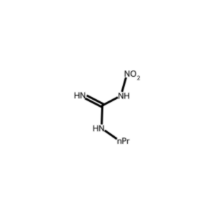 CCCNC(=N)N[N+](=O)[O-]